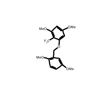 COc1ccc(OC)c(COc2cc(OC)cc(OC)c2C(F)(F)F)c1